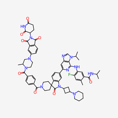 Cc1cc(F)c(Nc2nc(-c3ccc4c(c3)N(C3CC(N5CCCCC5)C3)C(=O)C43CCN(C(=O)c4ccc(C(=O)N5CCN(c6ccc7c(c6)C(=O)N(C6CCC(=O)NC6=O)C7=O)CC5C)cc4)CC3)cc3ncn(C(C)C)c23)cc1C(=O)NC(C)C